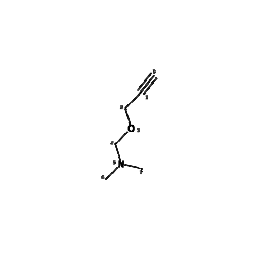 C#CCOCN(C)C